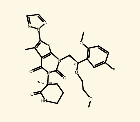 COCCO[C@@H](Cn1c(=O)n([C@@]2(C)CCCNC2=O)c(=O)c2c(C)c(-n3nccn3)sc21)c1cc(F)ccc1OC